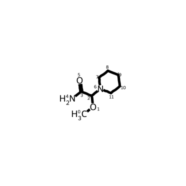 COC(C(N)=O)N1CC[CH]CC1